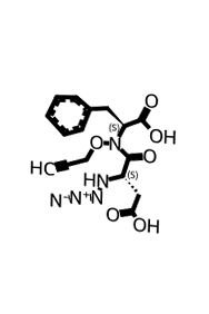 C#CCON(C(=O)[C@H](CC(=O)O)NN=[N+]=[N-])[C@@H](Cc1ccccc1)C(=O)O